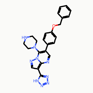 c1ccc(COc2ccc(-c3cnc4c(-c5nnn[nH]5)cnn4c3N3CCNCC3)cc2)cc1